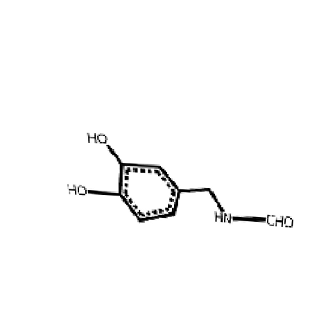 O=CNCc1ccc(O)c(O)c1